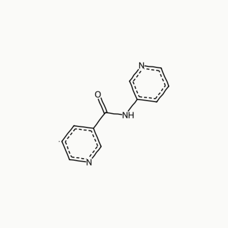 O=C(Nc1cccnc1)c1c[c]cnc1